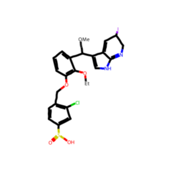 CCOc1c(OCc2ccc(S(=O)O)cc2Cl)cccc1C(OC)c1c[nH]c2c1=CC(I)CN=2